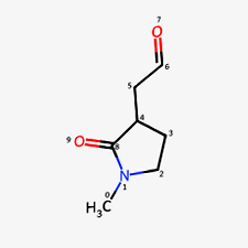 CN1CCC(CC=O)C1=O